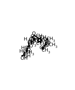 CC(=O)OCC(COC(C)=O)OC(C)=O.CC(O)C(=O)O.CC1OC(=O)C(C)OC1=O.Cc1c(C)c(C)c(C)c(C)c1C.O=C1COC(=O)CO1.OCC(O)CO